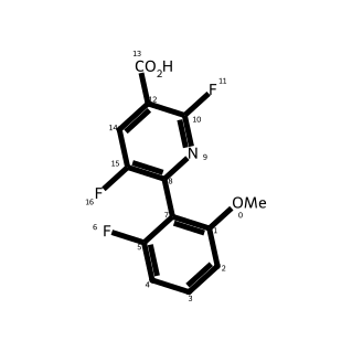 COc1cccc(F)c1-c1nc(F)c(C(=O)O)cc1F